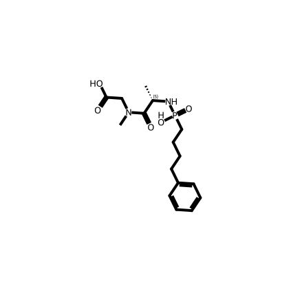 C[C@H](NP(=O)(O)CCCCc1ccccc1)C(=O)N(C)CC(=O)O